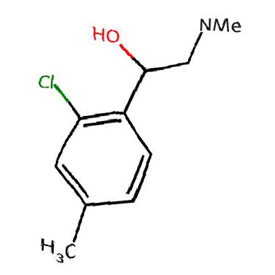 CNCC(O)c1ccc(C)cc1Cl